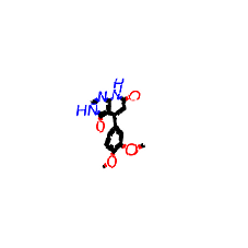 COc1ccc(C2CC(=O)Nc3nc[nH]c(=O)c32)cc1OC